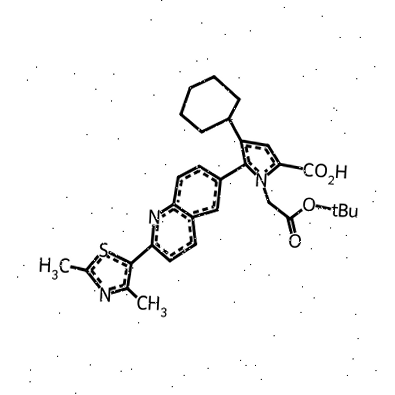 Cc1nc(C)c(-c2ccc3cc(-c4c(C5CCCCC5)cc(C(=O)O)n4CC(=O)OC(C)(C)C)ccc3n2)s1